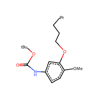 COc1ccc(NC(=O)OC(C)(C)C)cc1OCCCC(C)C